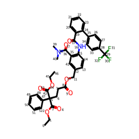 CCOC(=O)C(CCC(=O)OCc1ccc(NC(=O)c2ccccc2-c2ccc(C(F)(F)F)cc2)c(C(=O)N(C)C)c1)(C(=O)OCC)c1ccccc1